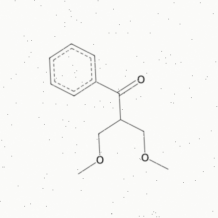 COCC(COC)C(=O)c1ccccc1